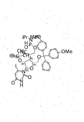 COc1ccc(C(OC[C@@H]2O[C@@H](n3c(I)cc(=O)[nH]c3=O)[C@H](O[Si](C)(C)C(C)(C)C)[C@@H]2C(C#N)COP(O)N(C(C)C)C(C)C)(c2ccccc2)c2ccc(OC)cc2)cc1